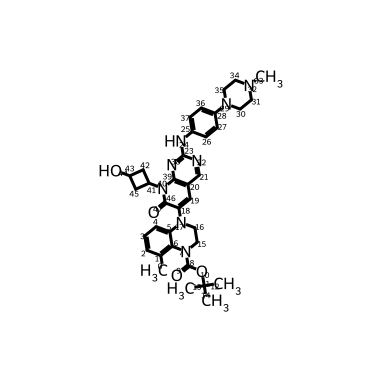 Cc1cccc2c1N(C(=O)OC(C)(C)C)CCN2c1cc2cnc(Nc3ccc(N4CCN(C)CC4)cc3)nc2n(C2CC(O)C2)c1=O